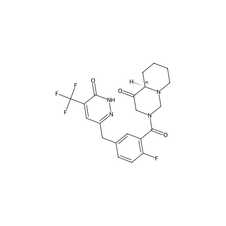 O=C1CN(C(=O)c2cc(Cc3cc(C(F)(F)F)c(=O)[nH]n3)ccc2F)CN2CCCC[C@H]12